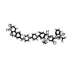 Cc1cc(Nc2ncc(Cl)c(Nc3ccccc3S(=O)(=O)C(C)C)n2)c(OC(C)C)cc1N1CCC(N2CCN(Cc3ccc(C4CCC(=O)NC4=O)c(F)c3)CC2)CC1